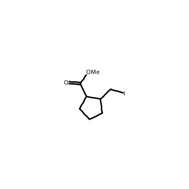 COC(=O)C1CCCC1CI